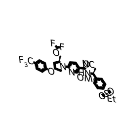 CCS(=O)(=O)c1ccc([C@H](CC#N)NC(=O)c2ccc(N3C[C@H](Oc4ccc(C(F)(F)F)cc4)C[C@H]3COC(F)F)nc2OC)cc1